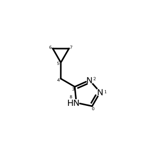 c1nnc(CC2CC2)[nH]1